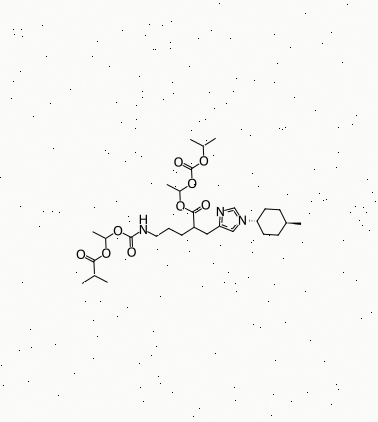 CC(C)OC(=O)OC(C)OC(=O)C(CCCNC(=O)OC(C)OC(=O)C(C)C)Cc1cn([C@H]2CC[C@H](C)CC2)cn1